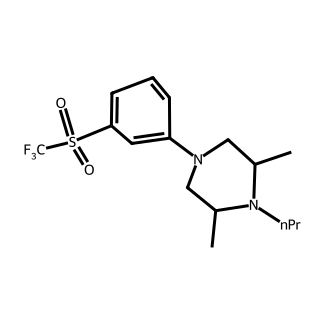 CCCN1C(C)CN(c2cccc(S(=O)(=O)C(F)(F)F)c2)CC1C